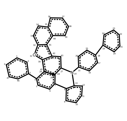 c1ccc(-c2ccc(-c3ccccc3N(c3ccc(-c4ccccc4)cc3)c3ccc4oc5ccc6ccccc6c5c4c3)cc2)cc1